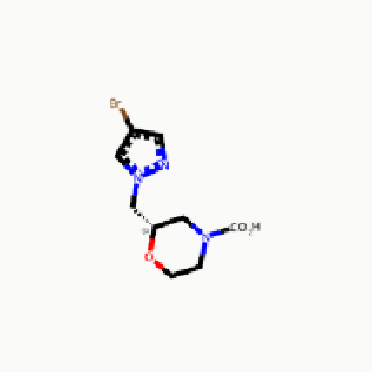 O=C(O)N1CCO[C@H](Cn2cc(Br)cn2)C1